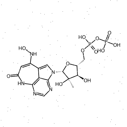 C[C@@]1(O)[C@H](O)[C@@H](COP(=O)(O)OP(=O)(O)O)O[C@H]1n1cc2c3c(ncnc31)NC(=O)C=C2NO